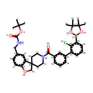 CC(C)(C)OC(=O)NCc1ccc2c(c1)C1(CCN(C(=O)c3cccc(-c4cccc(B5OC(C)(C)C(C)(C)O5)c4F)c3)CC1)CO2